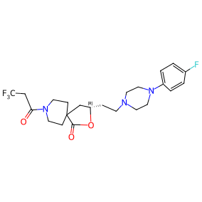 O=C(CC(F)(F)F)N1CCC2(CC1)C[C@H](CCN1CCN(c3ccc(F)cc3)CC1)OC2=O